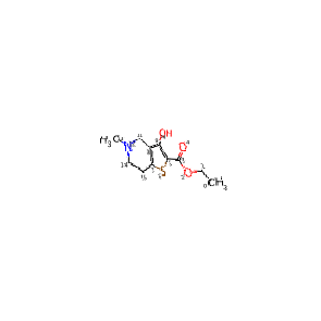 CCOC(=O)c1sc2c(c1O)CN(C)CC2